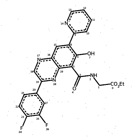 CCOC(=O)CNC(=O)c1c(O)c(-c2ccccn2)cc2ncc(-c3ccc(F)c(F)c3)nc12